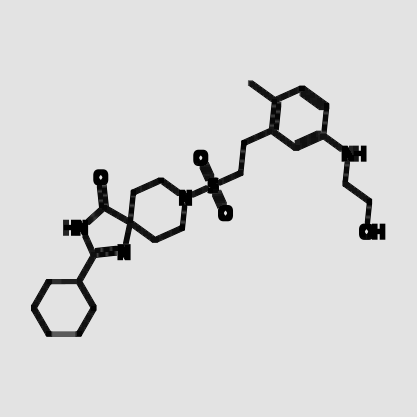 Cc1ccc(NCCO)cc1CCS(=O)(=O)N1CCC2(CC1)N=C(C1CCCCC1)NC2=O